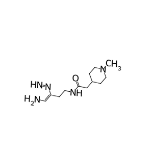 CN1CCC(CC(=O)NCC/C(=C/N)N=N)CC1